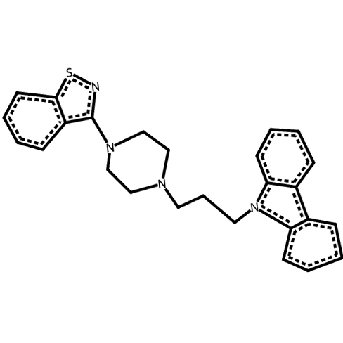 c1ccc2c(N3CCN(CCCn4c5ccccc5c5ccccc54)CC3)nsc2c1